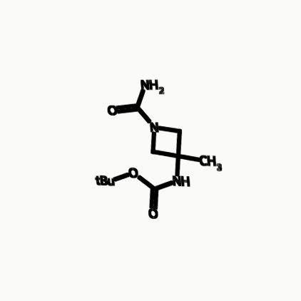 CC1(NC(=O)OC(C)(C)C)CN(C(N)=O)C1